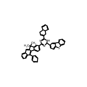 CC1(C)c2cc(C3=NC(c4ccc5sc6ccccc6c5c4)NC(C4=CCC5C=CC=CC5C4)=N3)ccc2-c2c1cc1ccccc1c2-c1ccccc1